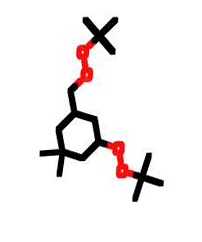 CC1(C)CC(COOC(C)(C)C)CC(OOC(C)(C)C)C1